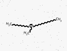 CCCCCCCCCCCCCCCCN1C=CN(CCCCCCCCCCCC)C1CCCC